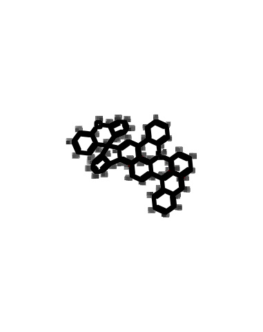 c1ccc(N(c2ccccc2-c2ccc3c(c2)C2(c4ccccc4Oc4ccccc42)c2ccccc2-3)c2ccccc2-c2cccc3ccccc23)cc1